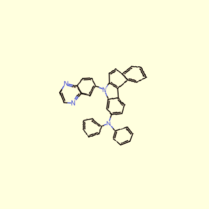 c1ccc(N(c2ccccc2)c2ccc3c4c5ccccc5ccc4n(-c4ccc5nccnc5c4)c3c2)cc1